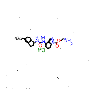 CC(C)(C)c1ccc2c(c1)CC[C@H]2NC(=O)Nc1cccc2c1cnn2C(=O)OCCN.Cl